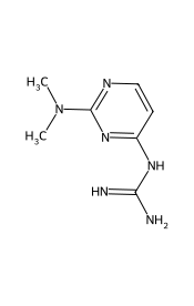 CN(C)c1nccc(NC(=N)N)n1